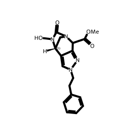 COC(=O)C1c2nn(CCc3ccccc3)cc2[C@H]2CN1C(=O)N2O